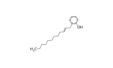 CCCCCCCCCC=CCc1ccccc1O